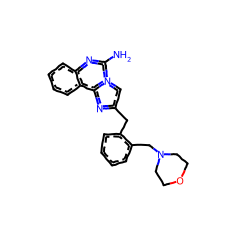 Nc1nc2ccccc2c2nc(Cc3ccccc3CN3CCOCC3)cn12